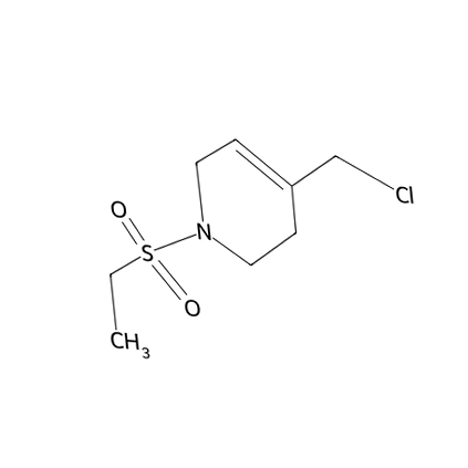 CCS(=O)(=O)N1CC=C(CCl)CC1